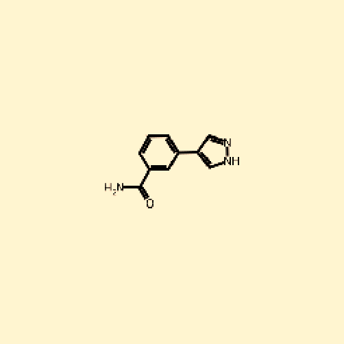 NC(=O)c1c[c]cc(-c2cn[nH]c2)c1